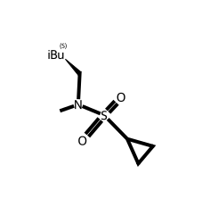 CC[C@H](C)CN(C)S(=O)(=O)C1CC1